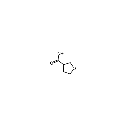 [NH]C(=O)C1CCOC1